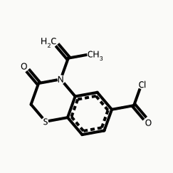 C=C(C)N1C(=O)CSc2ccc(C(=O)Cl)cc21